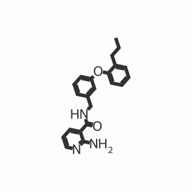 CCCc1ccccc1Oc1cccc(CNC(=O)c2cccnc2N)c1